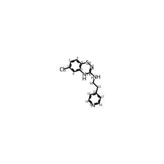 Clc1ccc2c(c1)NC(NCCc1ccncc1)=NS2